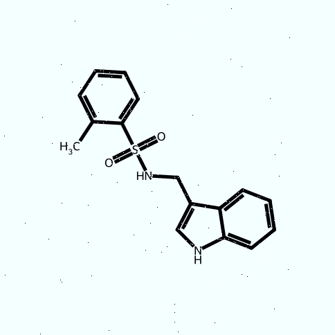 Cc1ccccc1S(=O)(=O)NCc1c[nH]c2ccccc12